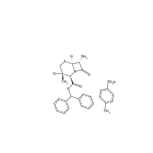 C[C@@]1(Cl)CS[C@H]2[C@H](N)C(=O)N2[C@H]1C(=O)OC(c1ccccc1)c1ccccc1.Cc1ccc(S(=O)(=O)O)cc1